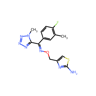 Cc1cc(/C(=N\OCc2csc(N)n2)c2nnnn2C)ccc1F